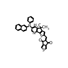 CC1(C)c2cc(N(c3ccccc3)c3ccc4ccccc4c3)cnc2-c2sc(C=C3C(=O)c4cscc4C3=O)cc21